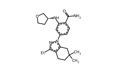 CCc1nn(-c2ccc(C(N)=O)c(N[C@H]3CCOC3)c2)c2c1CCC(C)(C)C2